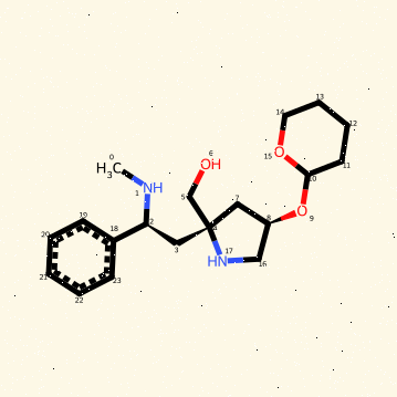 CN[C@@H](C[C@@]1(CO)C[C@@H](OC2CCCCO2)CN1)c1ccccc1